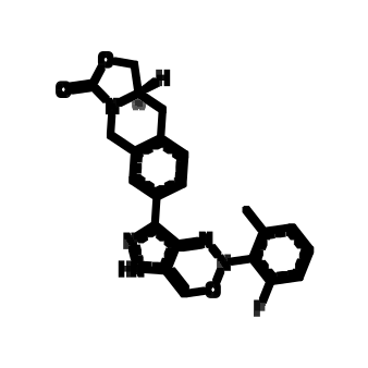 Cc1cccc(F)c1N1N=c2c(-c3ccc4c(c3)CN3C(=O)OC[C@@H]3C4)n[nH]c2=CO1